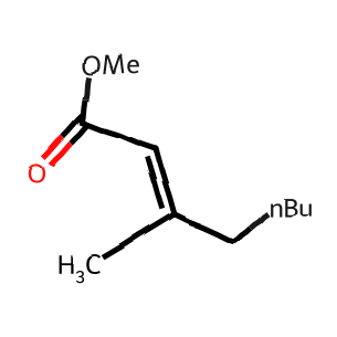 CCCCCC(C)=CC(=O)OC